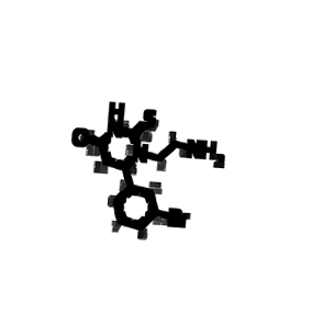 NCCn1c(-c2cccc(Br)c2)cc(=O)[nH]c1=S